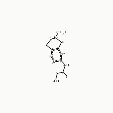 CC(CO)Nc1ncc2c(n1)CN(C(=O)O)CC2